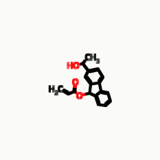 C=CC(=O)OC1c2ccccc2-c2ccc(C(C)O)cc21